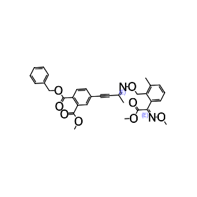 CO/N=C(/C(=O)OC)c1cccc(C)c1CO/N=C(\C)C#Cc1ccc(C(=O)OCc2ccccc2)c(C(=O)OC)c1